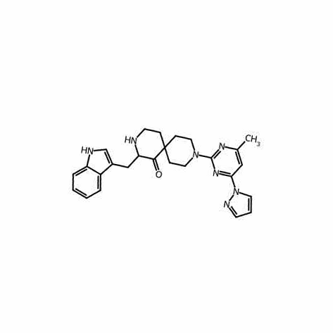 Cc1cc(-n2cccn2)nc(N2CCC3(CCNC(Cc4c[nH]c5ccccc45)C3=O)CC2)n1